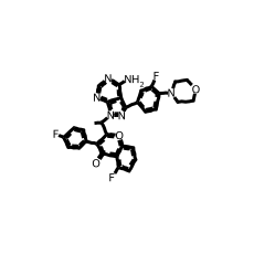 CC(c1oc2cccc(F)c2c(=O)c1-c1ccc(F)cc1)n1nc(-c2ccc(N3CCOCC3)c(F)c2)c2c(N)ncnc21